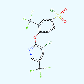 O=S(=O)(Cl)c1ccc(Oc2ncc(C(F)(F)F)cc2Cl)c(C(F)(F)F)c1